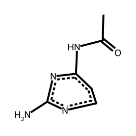 CC(=O)Nc1ccnc(N)n1